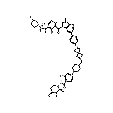 O=C1CC[C@H](NC(=O)c2ccc(N3CCC(CN4CC5(C4)CN(c4ccc(-c6cnc7[nH]cc(C(=O)c8c(F)ccc(NS(=O)(=O)N9CC[C@@H](F)C9)c8F)c7c6)cc4)C5)CC3)cc2F)C(=O)N1